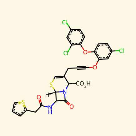 O=C(Cc1cccs1)NC1C(=O)N2C(C(=O)O)C(CC#COc3cc(Cl)ccc3Oc3ccc(Cl)cc3Cl)=CS[C@@H]12